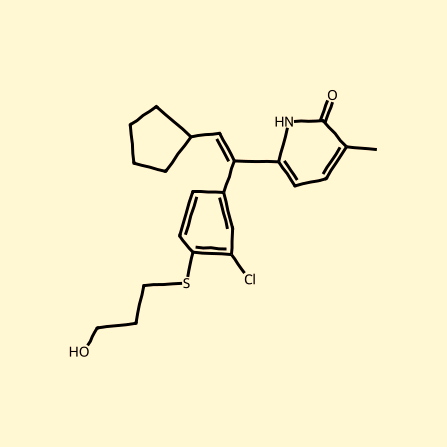 Cc1ccc(C(=CC2CCCC2)c2ccc(SCCCO)c(Cl)c2)[nH]c1=O